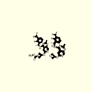 Cc1nc(N[C@H](C)c2cccc(C(F)F)c2F)c2cc(OC3CN(C(=O)OC(C)(C)C)C3)ncc2n1.Cc1nc(N[C@H](C)c2cccc(C(F)F)c2F)c2cc(OC3COC3)ncc2n1